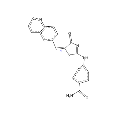 NC(=O)c1ccc(NC2=NC(=O)/C(=C\c3ccc4ncccc4c3)S2)cc1